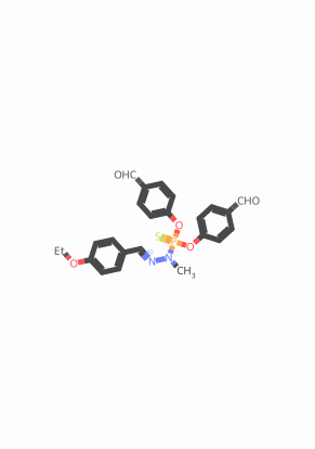 CCOc1ccc(/C=N/N(C)P(=S)(Oc2ccc(C=O)cc2)Oc2ccc(C=O)cc2)cc1